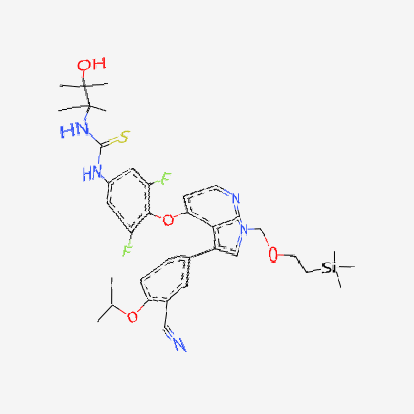 CC(C)Oc1ccc(-c2cn(COCC[Si](C)(C)C)c3nccc(Oc4c(F)cc(NC(=S)NC(C)(C)C(C)(C)O)cc4F)c23)cc1C#N